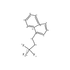 FC(F)(F)C(F)(F)[CH]Cc1cccc2ccccc12